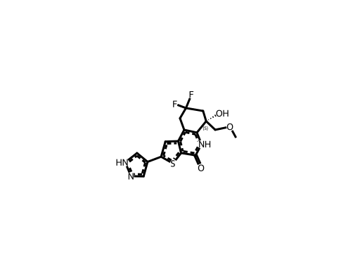 COC[C@]1(O)CC(F)(F)Cc2c1[nH]c(=O)c1sc(-c3cn[nH]c3)cc21